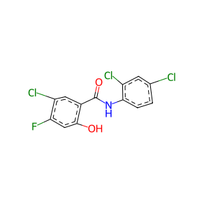 O=C(Nc1ccc(Cl)cc1Cl)c1cc(Cl)c(F)cc1O